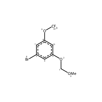 COCOc1cc(Br)cc(OC(F)(F)F)c1